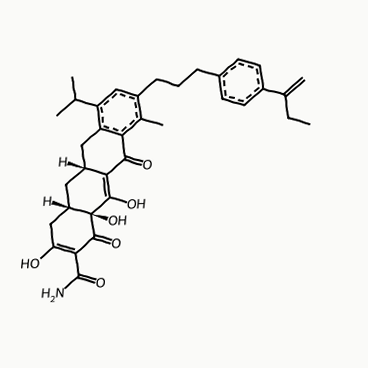 C=C(CC)c1ccc(CCCc2cc(C(C)C)c3c(c2C)C(=O)C2=C(O)[C@]4(O)C(=O)C(C(N)=O)=C(O)C[C@@H]4C[C@@H]2C3)cc1